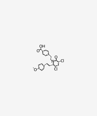 COc1ccc(/C=C/c2c(Cl)cc(Cl)c(=O)n2CCc2ccc(C(=O)O)cc2)cc1